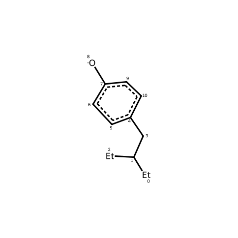 CCC(CC)Cc1ccc([O])cc1